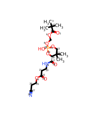 CC(C)(C)C(=O)OCO[P@@]1(O)OCC(C)(C)[C@H](C(=O)NCCC(=O)OCCC#N)O1